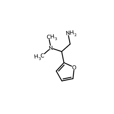 CN(C)C(CN)c1ccco1